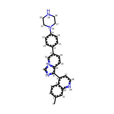 Cc1ccc2c(-c3ncn4cc(-c5ccc(N6CCNCC6)cc5)ccc34)ccnc2c1